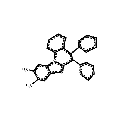 Cc1cc2nc3c(-c4ccccc4)c(-c4ccccc4)c4ccccc4n3c2cc1C